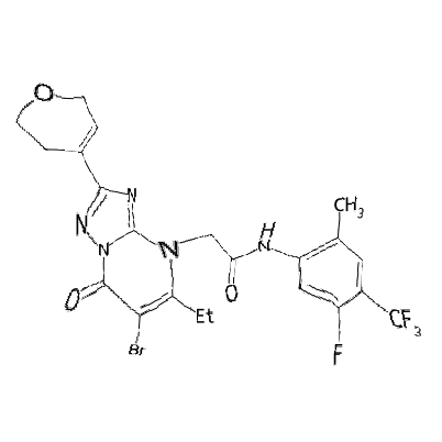 CCc1c(Br)c(=O)n2nc(C3=CCOCC3)nc2n1CC(=O)Nc1cc(F)c(C(F)(F)F)cc1C